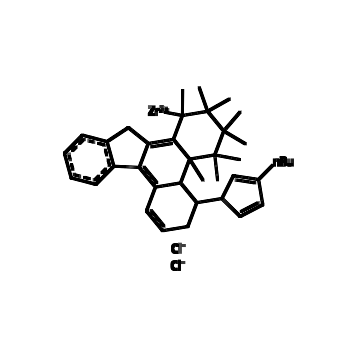 CCCCC1=CC(C2CC=CC3=C4C(=C5[C](C)([Zr+2])C(C)(C)C(C)(C)C(C)(C)C5(C)C32)Cc2ccccc24)C=C1.[Cl-].[Cl-]